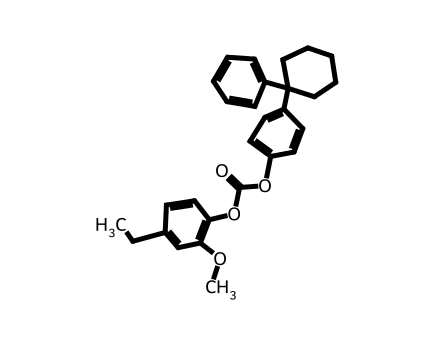 CCc1ccc(OC(=O)Oc2ccc(C3(c4ccccc4)CCCCC3)cc2)c(OC)c1